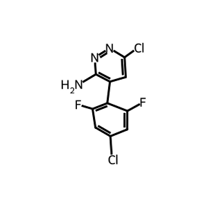 Nc1nnc(Cl)cc1-c1c(F)cc(Cl)cc1F